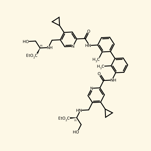 CCOC(=O)[C@H](CO)NCc1cnc(C(=O)Nc2cccc(-c3cccc(NC(=O)c4cc(C5CC5)c(CN[C@H](CO)C(=O)OCC)cn4)c3C)c2C)cc1C1CC1